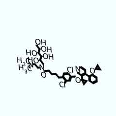 CN(C)CCN(C[C@H](O)[C@@H](O)[C@H](O)[C@H](O)CO)C(=O)CCCCc1cc(Cl)c(COC2(c3cnccc3-c3ccccc3OC3CC3)CC2)cc1Cl